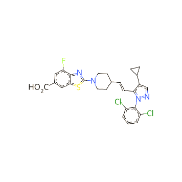 O=C(O)c1cc(F)c2nc(N3CCC(C=Cc4c(C5CC5)cnn4-c4c(Cl)cccc4Cl)CC3)sc2c1